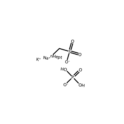 CCCCCCCCS(=O)(=O)[O-].O=P([O-])(O)O.[K+].[Na+]